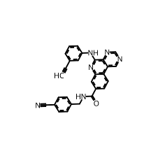 C#Cc1cccc(Nc2nc3cc(C(=O)NCc4ccc(C#N)cc4)ccc3c3cncnc23)c1